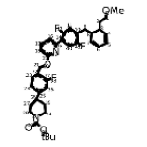 COCCC1C=CC=CC1Cc1cc(F)c(-c2cccc(OCc3ccc(C4=CCN(C(=O)OC(C)(C)C)CC4)cc3F)n2)cc1F